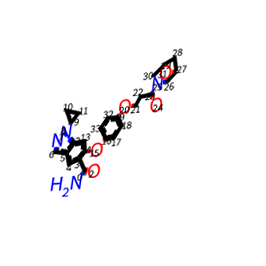 NC(=O)c1cc2cnn(C3CC3)c2cc1Oc1ccc(OCCC(=O)N2CC3CC(C2)O3)cc1